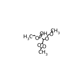 CCOP(O)C(OCOC)C1OC(C)O1